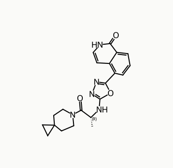 C[C@@H](Nc1nnc(-c2cccc3c(=O)[nH]ccc23)o1)C(=O)N1CCC2(CC1)CC2